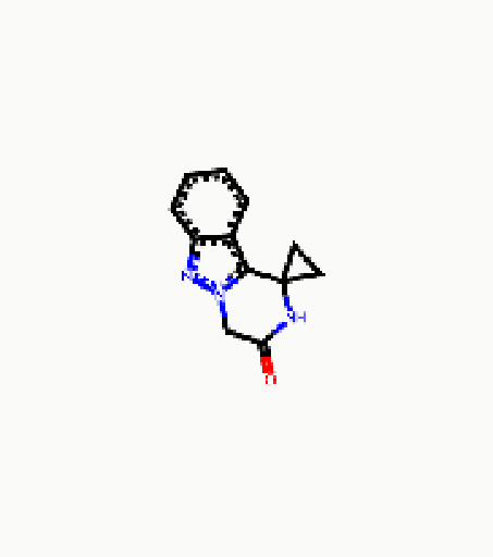 O=C1Cn2nc3ccccc3c2C2(CC2)N1